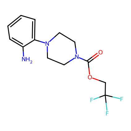 Nc1ccccc1N1CCN(C(=O)OCC(F)(F)F)CC1